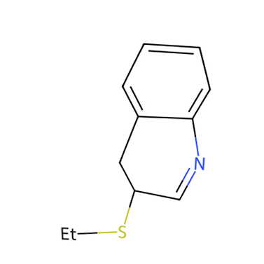 CCSC1C=Nc2ccccc2C1